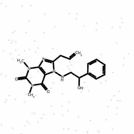 C=CCc1nc2c(c(=O)n(C)c(=O)n2C)n1NCC(O)c1ccccc1